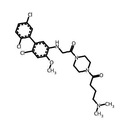 COc1cc(Cl)c(-c2cc(Cl)ccc2Cl)cc1NCC(=O)N1CCN(C(=O)CCCN(C)C)CC1